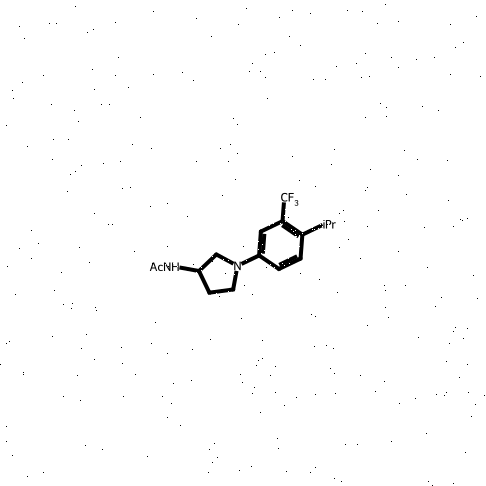 CC(=O)NC1CCN(c2ccc(C(C)C)c(C(F)(F)F)c2)C1